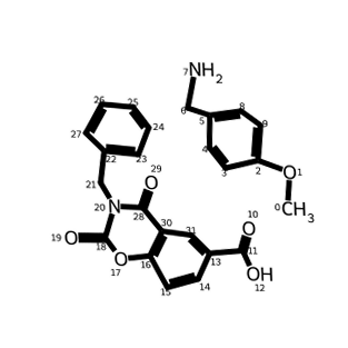 COc1ccc(CN)cc1.O=C(O)c1ccc2oc(=O)n(Cc3ccccc3)c(=O)c2c1